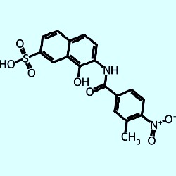 Cc1cc(C(=O)Nc2ccc3ccc(S(=O)(=O)O)cc3c2O)ccc1[N+](=O)[O-]